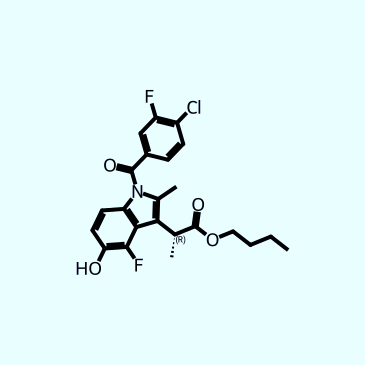 CCCCOC(=O)[C@H](C)c1c(C)n(C(=O)c2ccc(Cl)c(F)c2)c2ccc(O)c(F)c12